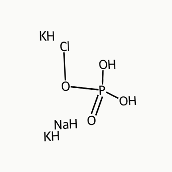 O=P(O)(O)OCl.[KH].[KH].[NaH]